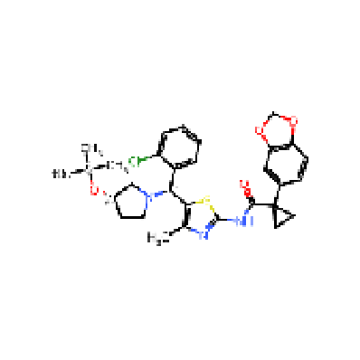 Cc1nc(NC(=O)C2(c3ccc4c(c3)OCO4)CC2)sc1[C@H](c1ccccc1Cl)N1CC[C@H](O[Si](C)(C)C(C)(C)C)C1